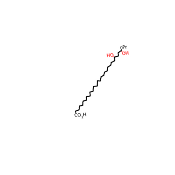 CCCC(O)CCC(O)CCCCCCCCCCCCCCCCCCCCCCC(=O)O